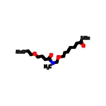 CNC(=O)CCCCCCOCN(C)C(=O)CCCOCCOC